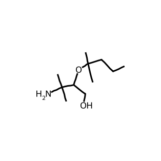 CCCC(C)(C)OC(CO)C(C)(C)N